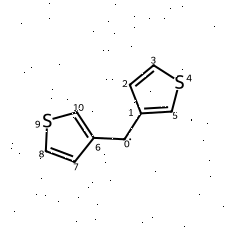 [CH](c1ccsc1)c1ccsc1